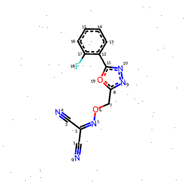 N#CC(C#N)=NOCc1nnc(-c2ccccc2F)o1